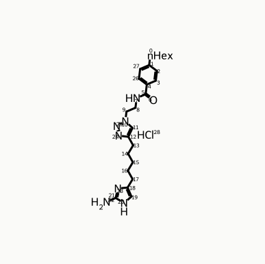 CCCCCCc1ccc(C(=O)NCCn2cc(CCCCCc3c[nH]c(N)n3)nn2)cc1.Cl